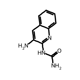 NC(=O)Nc1nc2ccccc2cc1N